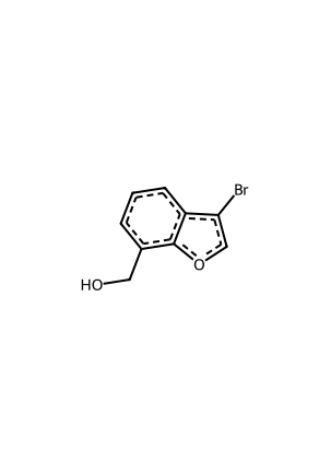 OCc1cccc2c(Br)coc12